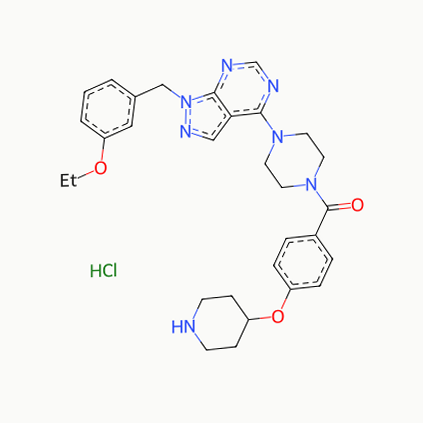 CCOc1cccc(Cn2ncc3c(N4CCN(C(=O)c5ccc(OC6CCNCC6)cc5)CC4)ncnc32)c1.Cl